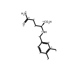 Cc1ccc(CN[C@@H](CCC(N)=O)C(=O)O)cc1C